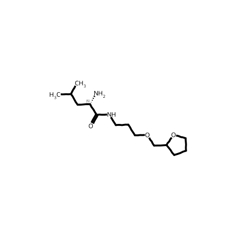 CC(C)C[C@H](N)C(=O)NCCCOCC1CCCO1